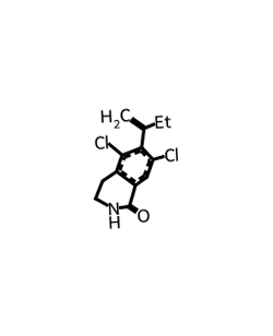 C=C(CC)c1c(Cl)cc2c(c1Cl)CCNC2=O